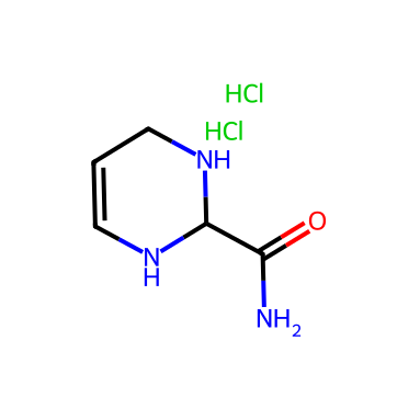 Cl.Cl.NC(=O)C1NC=CCN1